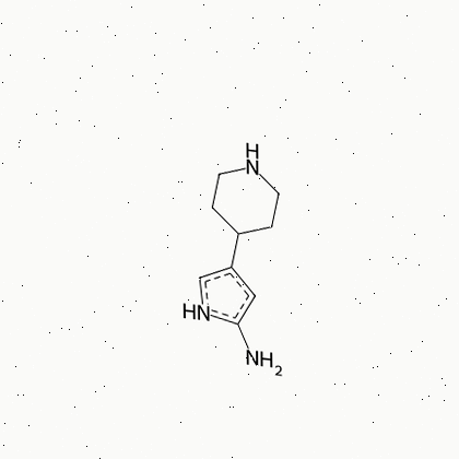 Nc1cc(C2CCNCC2)c[nH]1